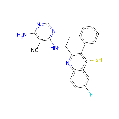 CC(Nc1ncnc(N)c1C#N)c1nc2ccc(F)cc2c(S)c1-c1ccccc1